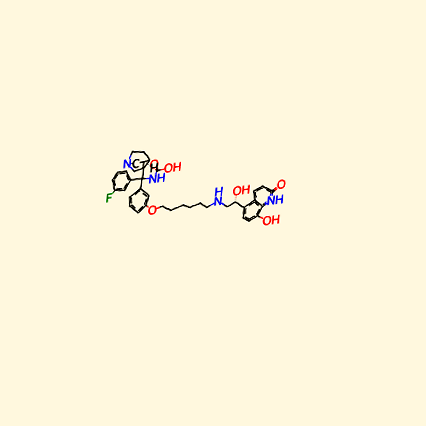 O=C(O)NC(c1cccc(F)c1)(c1cccc(OCCCCCCNC[C@H](O)c2ccc(O)c3[nH]c(=O)ccc23)c1)[C@H]1CN2CCC1CC2